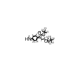 CNc1ccc(N(CCO[Si](C)(C)C(C)(C)C)C(=O)OC(C)(C)C)cc1